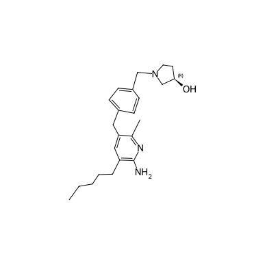 CCCCCc1cc(Cc2ccc(CN3CC[C@@H](O)C3)cc2)c(C)nc1N